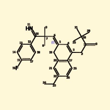 C=C(CC1=C/C(=C/C(C)(C)C(=N)c2ccc(F)cc2)Cc2cc(CC)ccc21)C(C)(C)C